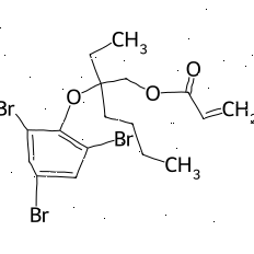 C=CC(=O)OCC(CC)(CCCC)Oc1c(Br)cc(Br)cc1Br